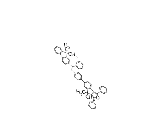 CC1(C)c2ccccc2-c2ccc(C(Cc3ccc(-c4ccc5c(c4)C(C)(C)c4c(-c6ccccc6)oc(-c6ccccc6)c4-5)cc3)c3ccccc3)cc21